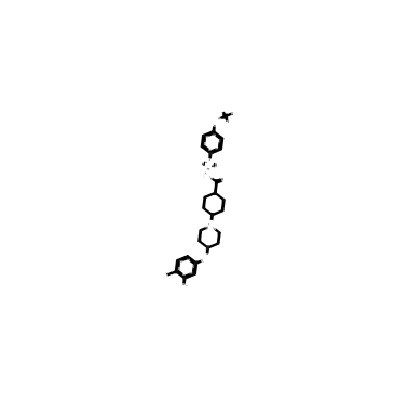 O=C(NS(=O)(=O)c1ccc(OC(F)(F)F)cc1)C1CCC(N2CCC(Oc3ccc(Cl)c(Cl)c3)CC2)CC1